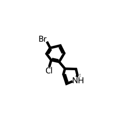 Clc1cc(Br)ccc1C1C=CN[C]C1